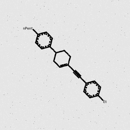 CCCCCc1ccc(C2CC=C(C#Cc3ccc(CC)cc3)CC2)cc1